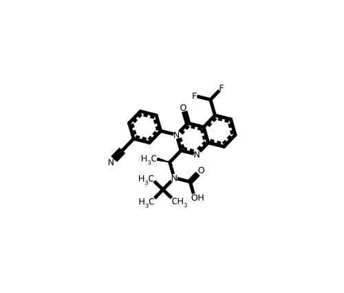 C[C@@H](c1nc2cccc(C(F)F)c2c(=O)n1-c1cccc(C#N)c1)N(C(=O)O)C(C)(C)C